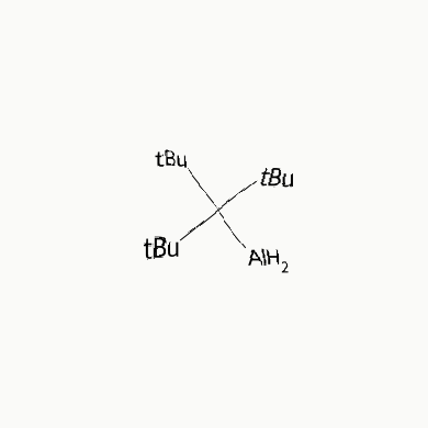 CC(C)(C)[C]([AlH2])(C(C)(C)C)C(C)(C)C